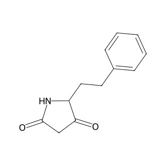 O=C1CC(=O)C(CCc2ccccc2)N1